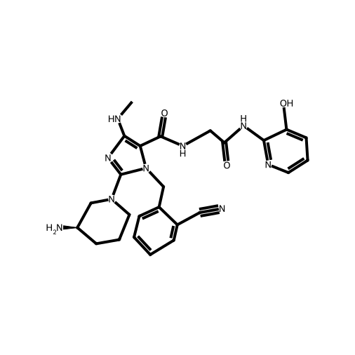 CNc1nc(N2CCC[C@@H](N)C2)n(Cc2ccccc2C#N)c1C(=O)NCC(=O)Nc1ncccc1O